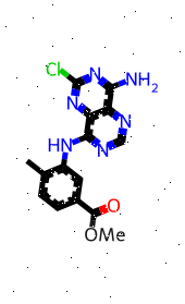 COC(=O)c1ccc(C)c(Nc2ncnc3c(N)nc(Cl)nc23)c1